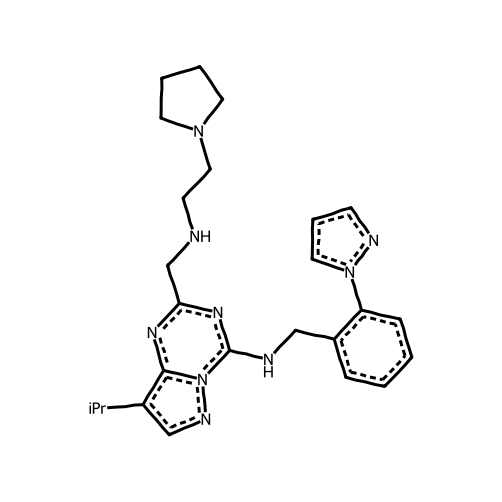 CC(C)c1cnn2c(NCc3ccccc3-n3cccn3)nc(CNCCN3CCCC3)nc12